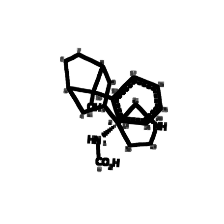 O=C(O)N[C@@]1(C2CC3CCC(C2)C3(O)c2ccccc2)CCNC1